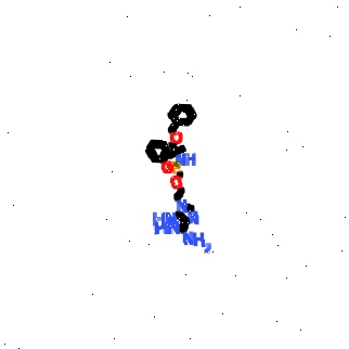 CC(C)(COCc1ccccc1)NP(COCCN1C=NC2=C(N)NNC21)Oc1ccccc1